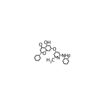 Cc1cc(Oc2cc(O)c3c(=O)cc(-c4ccccc4)oc3c2)cc(Nc2ccccc2F)n1